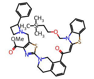 COC(=O)c1nc(N2CCc3cccc(C(=O)C=C4Sc5ccccc5N4COCC[Si](C)(C)C)c3C2)sc1CN1CCC1c1ccccc1